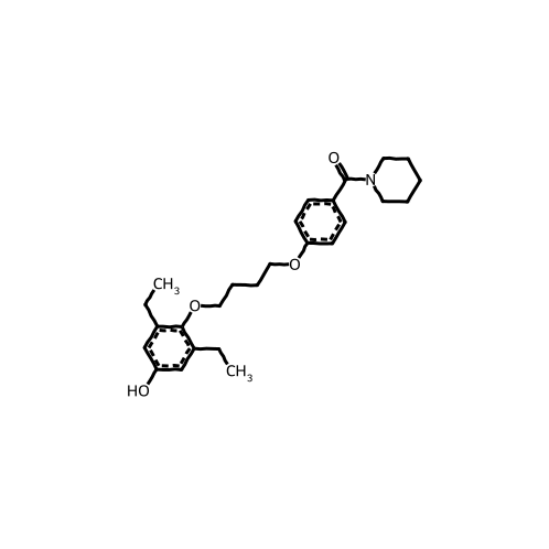 CCc1cc(O)cc(CC)c1OCCCCOc1ccc(C(=O)N2CCCCC2)cc1